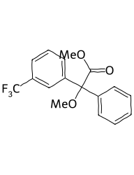 COC(=O)C(OC)(c1ccccc1)c1cccc(C(F)(F)F)c1